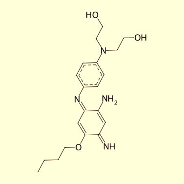 CCCCOC1=C/C(=N/c2ccc(N(CCO)CCO)cc2)C(N)=CC1=N